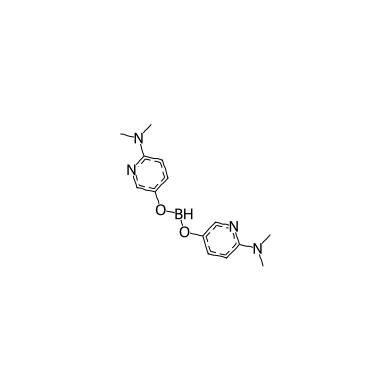 CN(C)c1ccc(OBOc2ccc(N(C)C)nc2)cn1